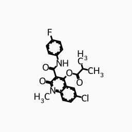 CC(C)C(=O)Oc1c(C(=O)Nc2ccc(F)cc2)c(=O)n(C)c2ccc(Cl)cc12